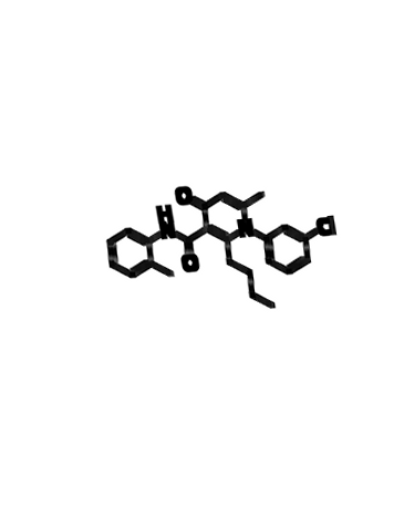 CCCCc1c(C(=O)Nc2ccccc2C)c(=O)cc(C)n1-c1cccc(Cl)c1